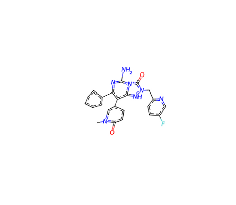 Cn1cc(-c2c(-c3ccccc3)nc(N)[n+]3c(=O)n(Cc4ccc(F)cn4)[nH]c23)ccc1=O